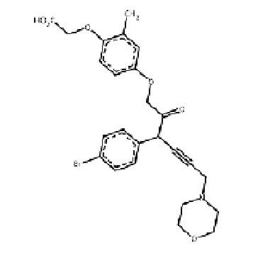 Cc1cc(OCC(=O)C(C#CCN2CCOCC2)c2ccc(Br)cc2)ccc1OCC(=O)O